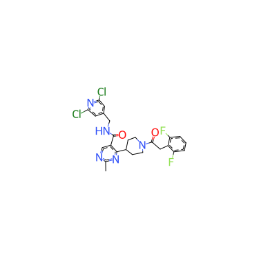 Cc1ncc(C(=O)NCc2cc(Cl)nc(Cl)c2)c(C2CCN(C(=O)Cc3c(F)cccc3F)CC2)n1